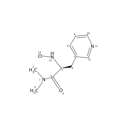 CN(C)C(=O)[C@H](Cc1cccnc1)NCl